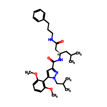 COc1cccc(OC)c1-c1cc(C(=O)N[C@H](CC(=O)NCCCc2ccccc2)CC(C)C)nn1CC(C)C